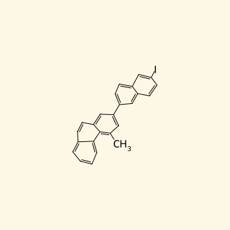 Cc1cc(-c2ccc3cc(I)ccc3c2)cc2ccc3ccccc3c12